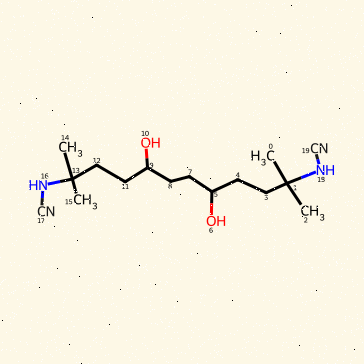 CC(C)(CCC(O)CCC(O)CCC(C)(C)NC#N)NC#N